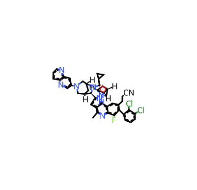 Cc1nc2c(F)c(-c3cccc(Cl)c3Cl)c(CCC#N)cc2c2c1cc([C@H]1[C@H]3C[C@H](CN(c4cnc5cccnc5c4)C3)N1C(=O)C1CC1)n2[C@H]1[C@H]2CN[C@@H]1C2